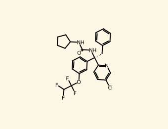 O=C(NC1CCCC1)N[C@](Cc1ccccc1)(c1cccc(OC(F)(F)C(F)F)c1)c1ccc(Cl)cn1